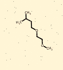 [CH2]OCCOCCC(C)C